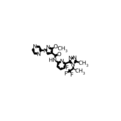 COc1nn(-c2cnccn2)cc1C(=O)Nc1cccc(-c2nnc(C)n2[C@@H](C)C(F)(F)F)n1